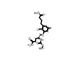 COC(=O)CCCc1cc(C)cc(OC[C@H](CCC(N)=O)NC(=O)OC(C)(C)C)c1Cl